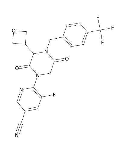 N#Cc1cnc(N2CC(=O)N(Cc3ccc(C(F)(F)F)cc3)C(C3COC3)C2=O)c(F)c1